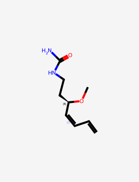 C=C/C=C\[C@@H](CCNC(N)=O)OC